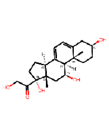 C[C@]12CC[C@H](O)CC1=CC=C1[C@@H]2[C@@H](O)C[C@@]2(C)[C@H]1CC[C@]2(O)C(=O)CO